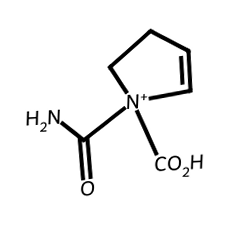 NC(=O)[N+]1(C(=O)O)C=CCC1